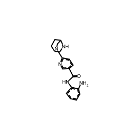 Nc1ccccc1NC(=O)c1ccc(N2CC3CCC2CN3)nc1